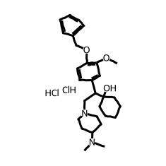 COc1cc(C(CN2CCC(N(C)C)CC2)C2(O)CCCCC2)ccc1OCc1ccccc1.Cl.Cl